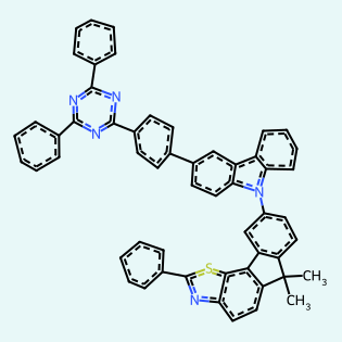 CC1(C)c2ccc(-n3c4ccccc4c4cc(-c5ccc(-c6nc(-c7ccccc7)nc(-c7ccccc7)n6)cc5)ccc43)cc2-c2c1ccc1nc(-c3ccccc3)sc21